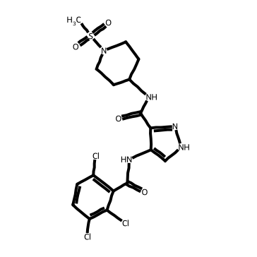 CS(=O)(=O)N1CCC(NC(=O)c2n[nH]cc2NC(=O)c2c(Cl)ccc(Cl)c2Cl)CC1